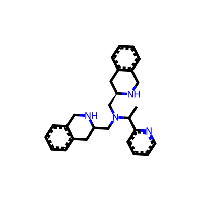 CC(c1ccccn1)N(CC1Cc2ccccc2CN1)C[C@H]1Cc2ccccc2CN1